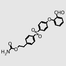 NC(=O)OCCc1ccc(S(=O)(=O)c2ccc(Oc3ccccc3C=O)cc2)cc1